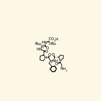 CC[C@H](C)[C@H](NC(=O)[C@@H](NC(=O)[C@@H]1CCCN1C(=O)[C@H](Cc1ccccc1)NC(=O)[C@@H]1CCCN1C(=O)CN)[C@@H](C)CC)C(=O)O